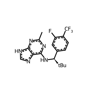 Cc1nc(N[C@@H](c2ccc(C(F)(F)F)c(F)c2)C(C)(C)C)c2nc[nH]c2n1